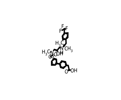 CN(C[C@H](O)CNC(C)(C)Cc1ccc(C(F)(F)F)cc1)S(=O)(=O)c1cccc(-c2ccc(CC(=O)O)cc2)c1